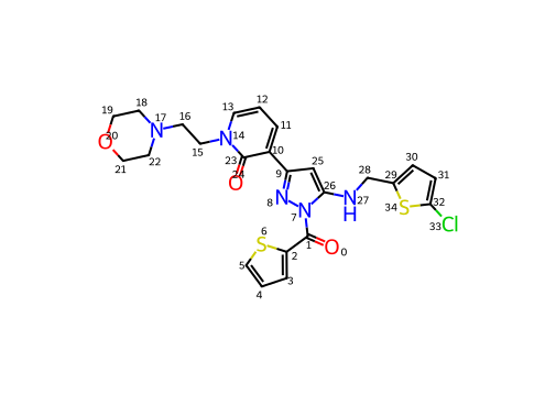 O=C(c1cccs1)n1nc(-c2cccn(CCN3CCOCC3)c2=O)cc1NCc1ccc(Cl)s1